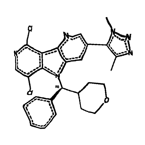 Cc1nnn(C)c1-c1cnc2c3c(Cl)ncc(Cl)c3n([C@H](c3ccccc3)C3CCOCC3)c2c1